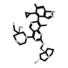 Cc1cc2[nH]ncc2c(-c2ncc3c(N4CCOC[C@](O)(CF)C4)nc(OC[C@@]45CCCN4C[C@H](F)C5)nc3c2F)c1C1CC1